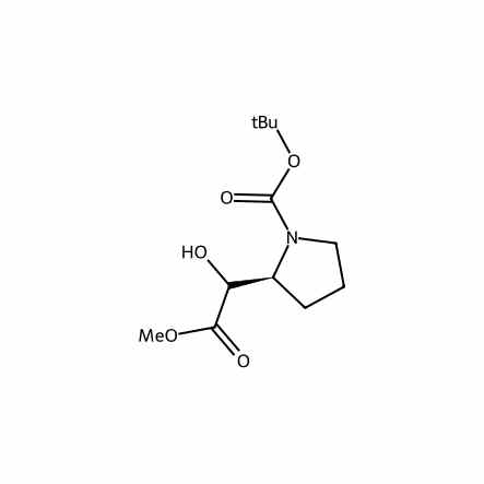 COC(=O)C(O)[C@@H]1CCCN1C(=O)OC(C)(C)C